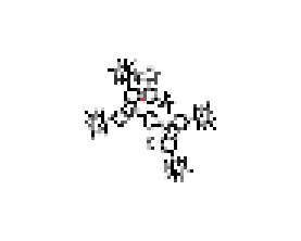 Cc1nc(C)nc(-c2ccc3c(c2)c2cc(-c4nc(C)nc(C)n4)ccc2n3-c2cc(-c3ccc(C(F)(F)F)cc3C(F)(F)F)c(-n3c4ccc(-c5nc(C)nc(C)n5)cc4c4cc(-c5nc(C)nc(C)n5)ccc43)cc2C#N)n1